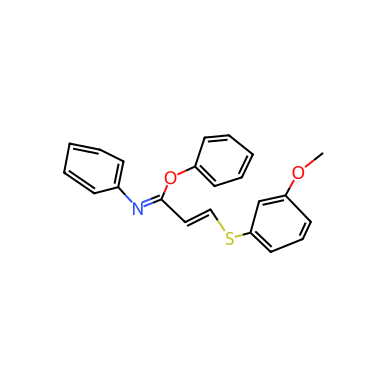 COc1cccc(SC=CC(=Nc2ccccc2)Oc2ccccc2)c1